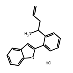 C=CCC(N)c1ccccc1-c1cc2ccccc2o1.Cl